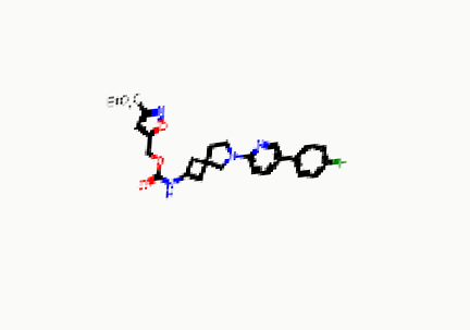 CCOC(=O)c1cc(COC(=O)NC2CC3(CCN(c4ccc(-c5ccc(F)cc5)cn4)C3)C2)on1